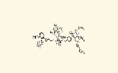 CCOC(=O)CC(CC)N(C(=O)C(=O)OCC)c1ccc(C[C@H](NC(=O)OC(C)(C)C)C(=O)NCCCCOc2cccc(O)c2C(=O)OC)cc1